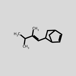 C/C(=C\C1CC2C=CC1C2)C(C)C